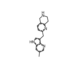 Cc1cnc2c(Cc3ccc4c(n3)CCNC4)c[nH]c2c1